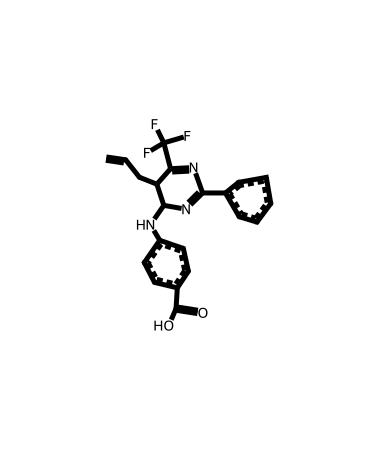 C=CCC1C(C(F)(F)F)=NC(c2ccccc2)=NC1Nc1ccc(C(=O)O)cc1